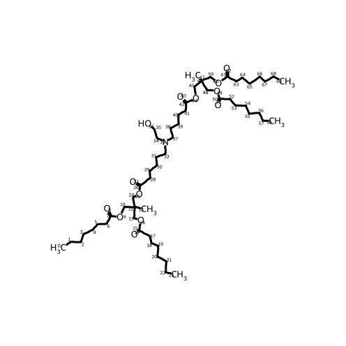 CCCCCCCC(=O)OCC(C)(COC(=O)CCCCCCC)COC(=O)CCCCCN(CCO)CCCCCC(=O)OCC(C)(COC(=O)CCCCCCC)COC(=O)CCCCCCC